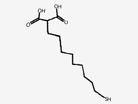 O=C(O)C(CCCCCCCCCS)C(=O)O